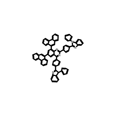 c1ccc(C2C(c3ccc(-c4nc(-c5ccc(-c6nc7ccccc7n6-c6ccccc6)cc5)nc5c(-c6cc7ccccc7c7ccccc67)cc(-c6cc7ccccc7c7ccccc67)cc45)cc3)=Nc3ccccc32)cc1